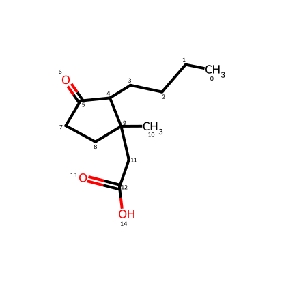 CCCCC1C(=O)CCC1(C)CC(=O)O